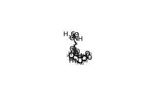 CS(=O)(=O)NCCCCS(=O)(=O)N1CCC[C@@H]2CN3CCc4cc5c(cc4[C@@H]3C[C@@H]21)OCO5